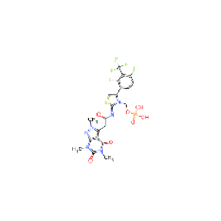 Cn1nc2c(c1CC(=O)N=c1scc(-c3ccc(F)c(C(F)(F)F)c3F)n1COP(=O)(O)O)c(=O)n(C)c(=O)n2C